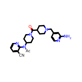 CC(=O)N(c1ncccc1C#N)C1CCN(C(=O)C2CCN(Cc3ccnc(N)c3)CC2)CC1